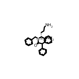 NCCC[C@H](C(N)=O)N(Cc1ccccc1)C(=O)C(c1ccccc1)c1ccccc1